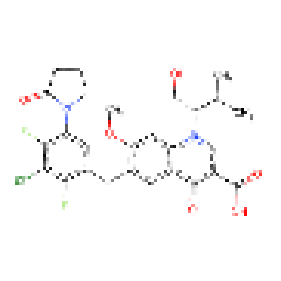 COc1cc2c(cc1Cc1cc(N3CCCC3=O)c(F)c(Cl)c1F)c(=O)c(C(=O)O)cn2[C@H](CO)C(C)C